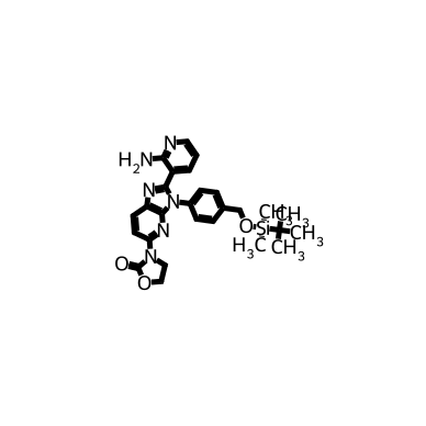 CC(C)(C)[Si](C)(C)OCc1ccc(-n2c(-c3cccnc3N)nc3ccc(N4CCOC4=O)nc32)cc1